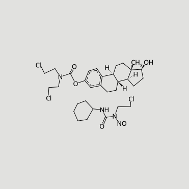 C[C@]12CC[C@@H]3c4ccc(OC(=O)N(CCCl)CCCl)cc4CC[C@H]3[C@@H]1CC[C@@H]2O.O=NN(CCCl)C(=O)NC1CCCCC1